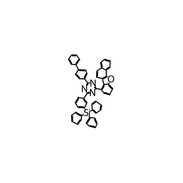 c1ccc(-c2ccc(-c3nc(-c4cccc([Si](c5ccccc5)(c5ccccc5)c5ccccc5)c4)nc(-c4cccc5oc6c7ccccc7ccc6c45)n3)cc2)cc1